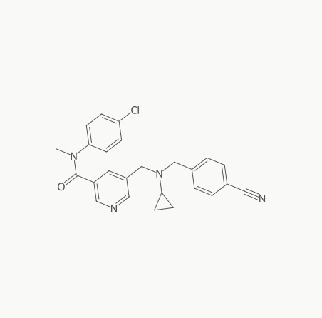 CN(C(=O)c1cncc(CN(Cc2ccc(C#N)cc2)C2CC2)c1)c1ccc(Cl)cc1